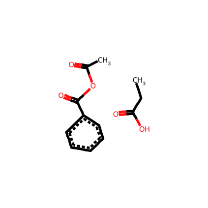 CC(=O)OC(=O)c1ccccc1.CCC(=O)O